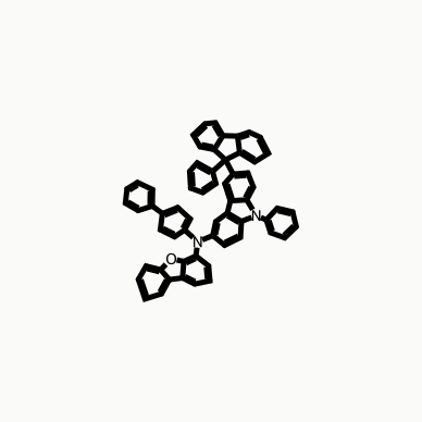 c1ccc(-c2ccc(N(c3ccc4c(c3)c3cc(C5(c6ccccc6)c6ccccc6-c6ccccc65)ccc3n4-c3ccccc3)c3cccc4c3oc3ccccc34)cc2)cc1